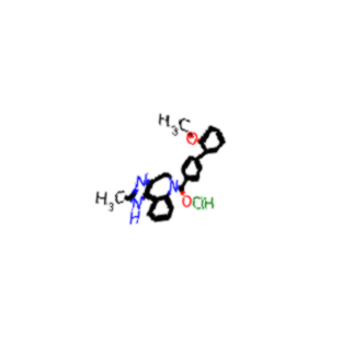 COc1ccccc1-c1ccc(C(=O)N2CCc3nc(C)[nH]c3-c3ccccc32)cc1.Cl